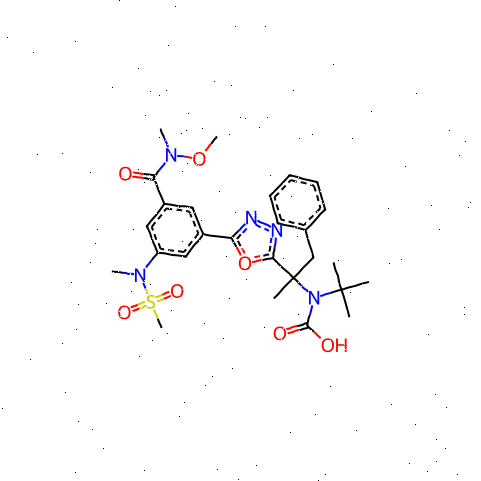 CON(C)C(=O)c1cc(-c2nnc(C(C)(Cc3ccccc3)N(C(=O)O)C(C)(C)C)o2)cc(N(C)S(C)(=O)=O)c1